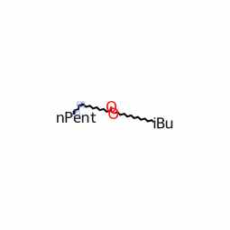 CCCCC/C=C\C/C=C\CCCCCCCC(=O)OCCCCCCCCCCCC(C)CC